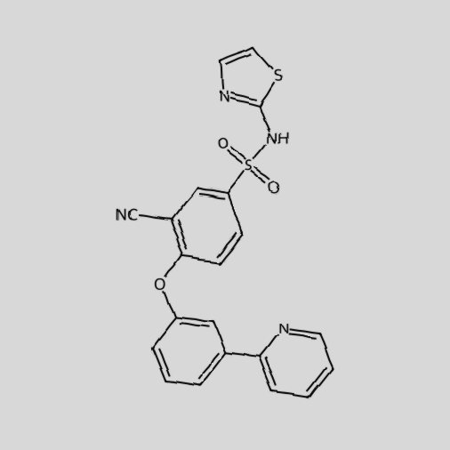 N#Cc1cc(S(=O)(=O)Nc2nccs2)ccc1Oc1cccc(-c2ccccn2)c1